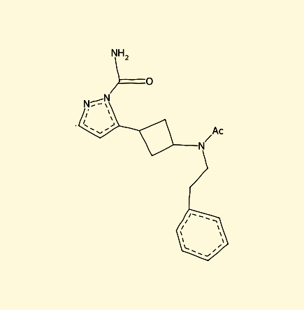 CC(=O)N(CCc1ccccc1)C1CC(c2c[c]nn2C(N)=O)C1